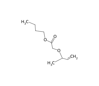 C=CC(C)OCC(=O)OCCCC